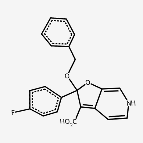 O=C(O)C1=C2C=CNC=C2OC1(OCc1ccccc1)c1ccc(F)cc1